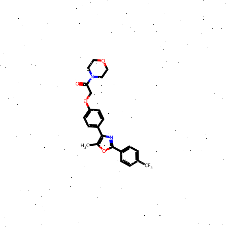 Cc1oc(-c2ccc(C(F)(F)F)cc2)nc1-c1ccc(OCC(=O)N2CCOCC2)cc1